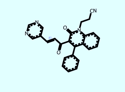 N#CCCn1c(=O)c(C(=O)/C=C/c2cncnc2)c(-c2ccccc2)c2ccccc21